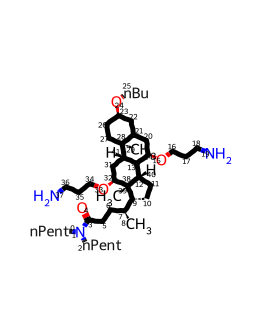 CCCCCN(CCCCC)C(=O)CC[C@@H](C)[C@H]1CC[C@H]2C3[C@H](OCCCN)CC4C[C@H](OCCCC)CC[C@]4(C)[C@H]3C[C@H](OCCCN)[C@]12C